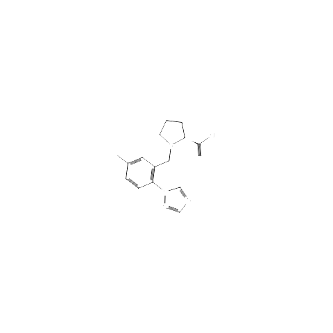 NC(=O)[C@@H]1CCCN1Cc1cc(Cl)ccc1-n1cncn1